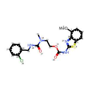 COc1cccc2sc(NC(=O)OCCN(C)C(=O)NCc3ccccc3Cl)nc12